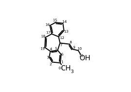 Cc1ccc2c(c1)C(C=CCO)c1ccccc1C=C2